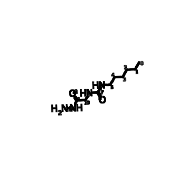 CCCCCCNC(=O)NCC(=O)NN